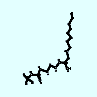 CCCCCCCCOCC(O)OOCOOC(=O)OC(C)(C)C